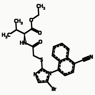 CCOC(=O)[C@@H](NC(=O)CSc1ncc(Br)n1-c1ccc(C#N)c2ccccc12)C(C)C